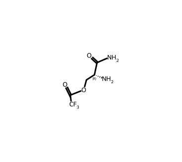 NC(=O)[C@H](N)COC(=O)C(F)(F)F